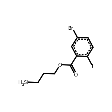 O=C(OCCC[SiH3])c1cc(Br)ccc1I